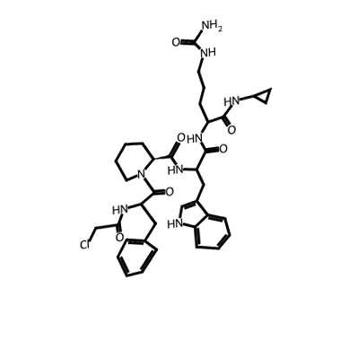 NC(=O)NCCCC(NC(=O)C(Cc1c[nH]c2ccccc12)NC(=O)[C@@H]1CCCCN1C(=O)C(Cc1ccccc1)NC(=O)CCl)C(=O)NC1CC1